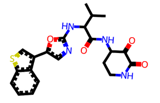 CC(C)C(Nc1ncc(-c2csc3ccccc23)o1)C(=O)NC1CCNC(=O)C1=O